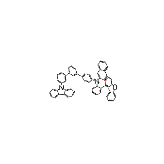 c1cc(-c2ccc(N(c3ccc4ccccc4c3)c3ccccc3-c3cccc4oc5ccccc5c34)cc2)cc(-c2cccc(-n3c4ccccc4c4ccccc43)c2)c1